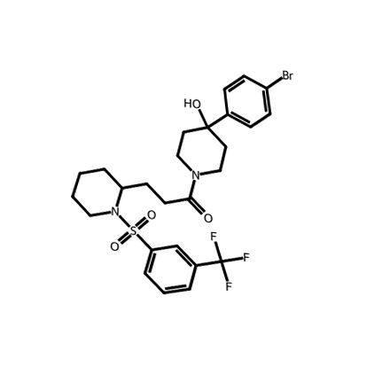 O=C(CCC1CCCCN1S(=O)(=O)c1cccc(C(F)(F)F)c1)N1CCC(O)(c2ccc(Br)cc2)CC1